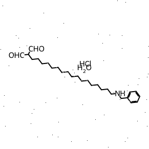 Cl.O.O=CC(C=O)CCCCCCCCCCCCCCCCCNCc1ccccc1